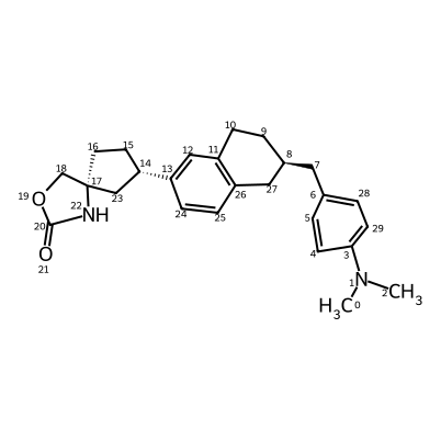 CN(C)c1ccc(C[C@@H]2CCc3cc([C@H]4CC[C@]5(COC(=O)N5)C4)ccc3C2)cc1